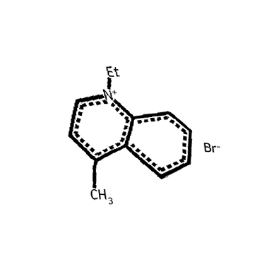 CC[n+]1ccc(C)c2ccccc21.[Br-]